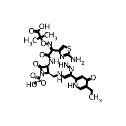 CCc1c[nH]c(/C(=C/NC[C@@H]2[C@H](NC(=O)/C(=N\OC(C)(C)C(=O)O)c3csc(N)n3)C(=O)N2S(=O)(=O)O)N=N)cc1=O